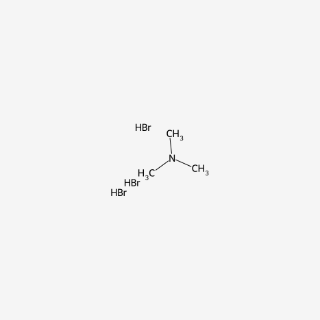 Br.Br.Br.CN(C)C